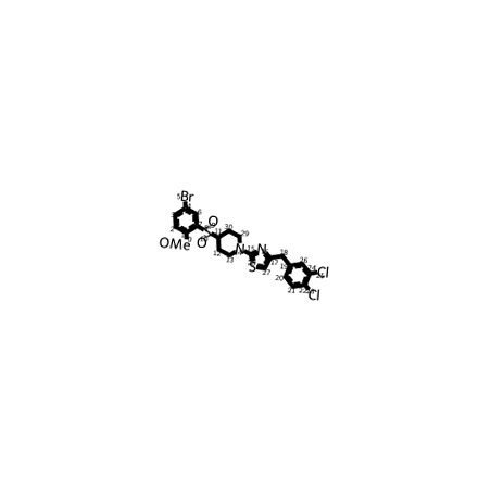 COc1ccc(Br)cc1S(=O)(=O)C1CCN(c2nc(Cc3ccc(Cl)c(Cl)c3)cs2)CC1